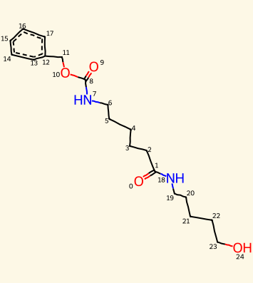 O=C(CCCCCNC(=O)OCc1ccccc1)NCCCCCO